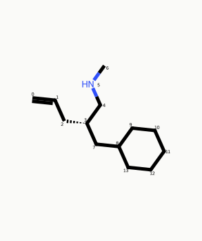 C=CC[C@H](CNC)CC1CCCCC1